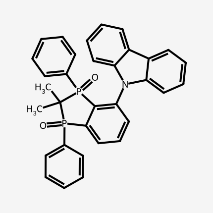 CC1(C)P(=O)(c2ccccc2)c2cccc(-n3c4ccccc4c4ccccc43)c2P1(=O)c1ccccc1